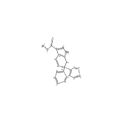 CC(C)OC(=O)c1n[nH]c2c1C=CC(c1ccccc1)(c1ccccc1)C2